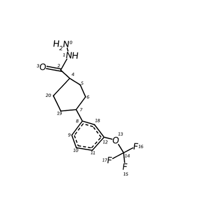 NNC(=O)C1CCC(c2cccc(OC(F)(F)F)c2)CC1